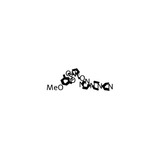 COc1cc(C)c(S(=O)(=O)N2CCC[C@H]2COc2nccc(N3CCN(c4ccncc4)CC3)n2)c(C)c1